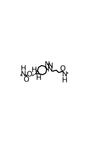 CNC(=O)CCCn1nnc2c1CC[C@@H]1[C@H](CC2)[C@@H]1COC(=O)NC